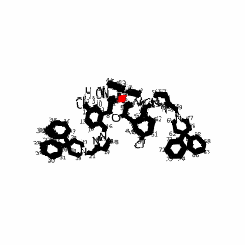 Cn1ccnc1C(OC(c1cc(Cl)ccc1Cn1ccc(CN2CCC(c3ccccc3)(c3ccccc3)CC2)n1)c1nccn1C)c1cc(Cl)ccc1Cn1ccc(CN2CCC(c3ccccc3)(c3ccccc3)CC2)n1